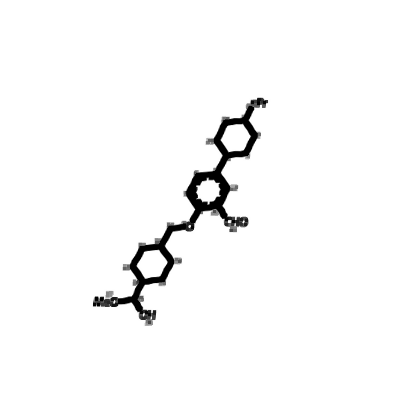 CCCC1CCC(c2ccc(OCC3CCC(C(O)OC)CC3)c(C=O)c2)CC1